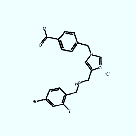 O=C([O-])c1ccc(Cn2cnc(CNCc3ccc(Br)cc3F)c2)cc1.[K+]